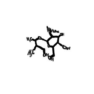 CC(=O)NC1C(O)[C@@H](O)C(CO)O[C@H]1OC(C)C(C)CO